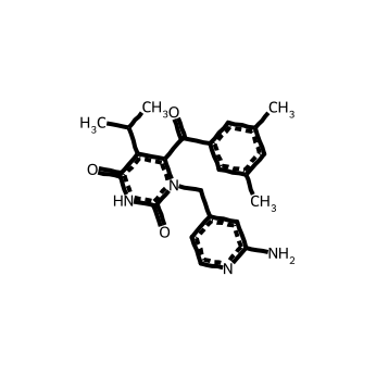 Cc1cc(C)cc(C(=O)c2c(C(C)C)c(=O)[nH]c(=O)n2Cc2ccnc(N)c2)c1